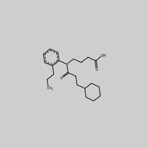 [CH2]CCc1ccccc1N(CCCC(=O)O)C(=O)CCC1CCCCC1